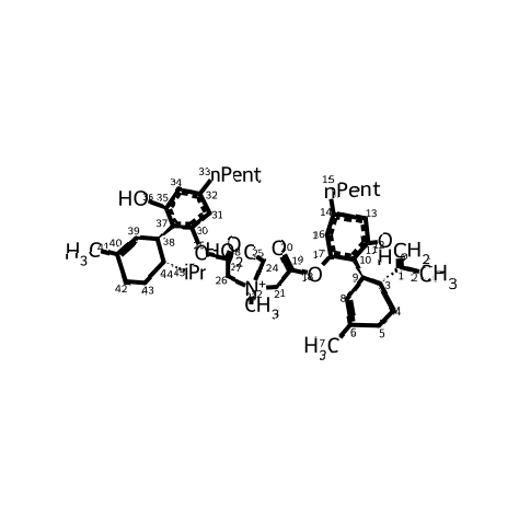 C=C(C)[C@@H]1CCC(C)=C[C@H]1c1c(O)cc(CCCCC)cc1OC(=O)C[N+](C)(CC(=O)O)CC(=O)Oc1cc(CCCCC)cc(O)c1[C@@H]1C=C(C)CC[C@H]1C(C)C